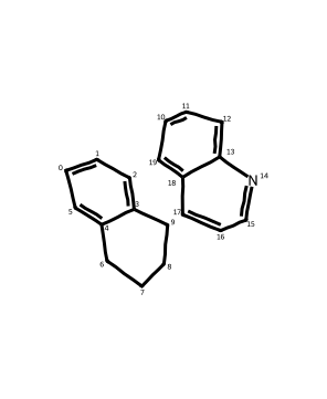 c1ccc2c(c1)CCCC2.c1ccc2ncccc2c1